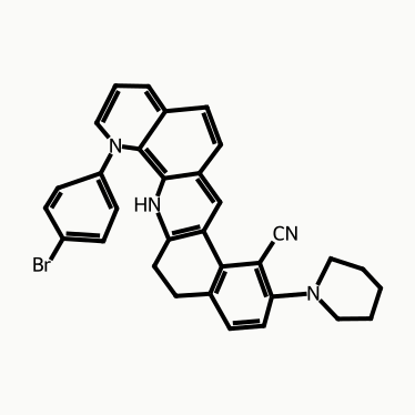 N#Cc1c(N2CCCCC2)ccc2c1C1=C(CC2)Nc2c3c(ccc2=C1)=CC=CN3c1ccc(Br)cc1